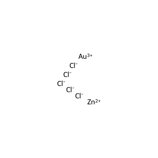 [Au+3].[Cl-].[Cl-].[Cl-].[Cl-].[Cl-].[Zn+2]